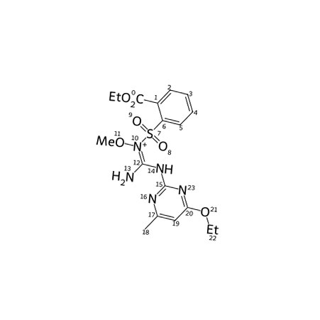 CCOC(=O)c1ccccc1S(=O)(=O)[N+](OC)=C(N)Nc1nc(C)cc(OCC)n1